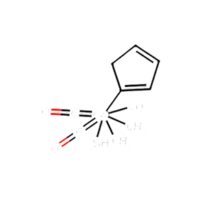 [CH3][Co]([CH3])([CH3])([SiH3])(=[C]=O)(=[C]=O)[C]1=CC=CC1